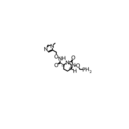 Cn1cncc1CONC(=O)[C@@H]1CC[C@@H]2CN1C(=O)N2OCP